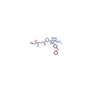 N#CCC(=O)NCCCC(=O)N1CCC[C@H](n2nc(-c3ccc(Oc4ccccc4)cc3)c3c(N)ncnc32)C1